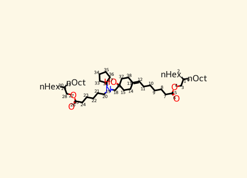 CCCCCCCCC(CCCCCC)COC(=O)CCCCCC=C1CCC(O)(CN(CCCCCC(=O)OCC(CCCCCC)CCCCCCCC)C2CCCC2)CC1